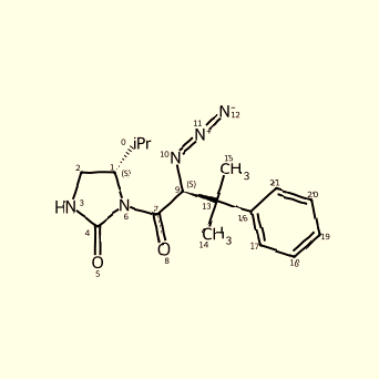 CC(C)[C@H]1CNC(=O)N1C(=O)[C@@H](N=[N+]=[N-])C(C)(C)c1ccccc1